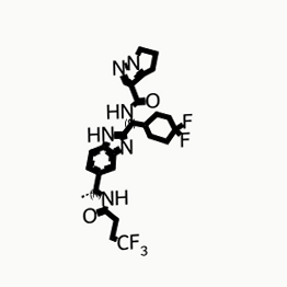 C[C@@H](NC(=O)CCC(F)(F)F)c1ccc2[nH]c([C@@H](NC(=O)c3cnn4c3CCC4)C3CCC(F)(F)CC3)nc2c1